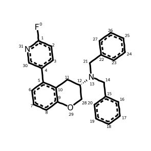 Fc1ccc(-c2cccc3c2C[C@H](N(Cc2ccccc2)Cc2ccccc2)CO3)cn1